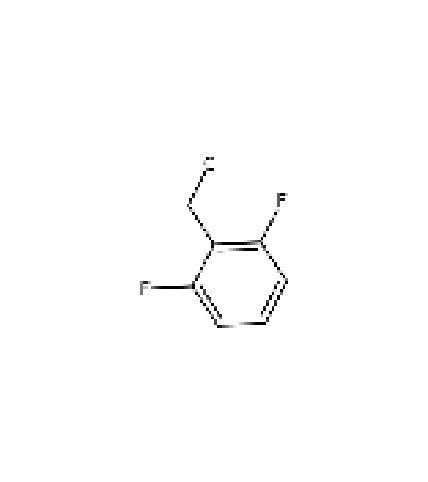 Fc1cccc(F)c1CCl